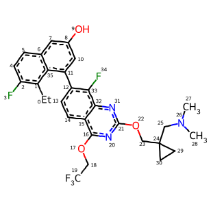 CCc1c(F)ccc2cc(O)cc(-c3ccc4c(OCC(F)(F)F)nc(OCC5(CN(C)C)CC5)nc4c3F)c12